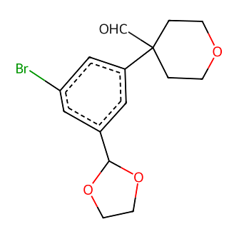 O=CC1(c2cc(Br)cc(C3OCCO3)c2)CCOCC1